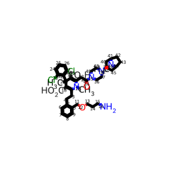 CN1C(CCc2ccccc2COCCCN)=C(C(=O)O)C(C)(c2c(Cl)cccc2Cl)C(C(=O)O)=C1CC(=O)N1CCN(C2CC3CCC(C2)N3C)CC1